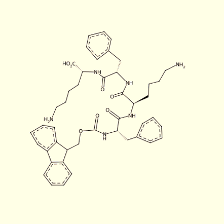 NCCCC[C@@H](NC(=O)[C@H](Cc1ccccc1)NC(=O)[C@@H](CCCCN)NC(=O)[C@H](Cc1ccccc1)NC(=O)OCC1c2ccccc2-c2ccccc21)C(=O)O